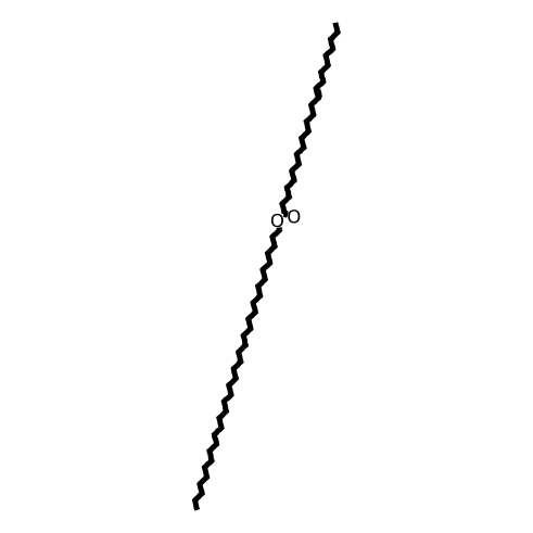 CCCCCCCCC=CCCCCCCCCCCCCCC(=O)OCCCCCCCCCCCCCCCCCCCCCCCCCCCCCCCCCCC